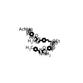 CCOP(=O)(CS(=O)(=O)c1ccc(NC(=O)c2nc(-c3ccc(C)cc3)cnc2N)cc1F)OCCCc1ccc(-c2cnc(N)c(C(=O)Nc3ccc(S(=O)(=O)NC(C)=O)c(F)c3)n2)cc1